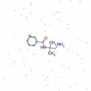 CC(C)(CN)NC(=O)c1cccnc1